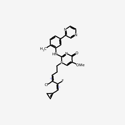 COc1cn(CC/C=C(Cl)\C(F)=C/C2=CC2)c(Nc2cc(-c3cnccn3)ccc2C)nc1=O